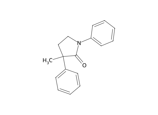 CC1(c2ccccc2)CCN(c2ccccc2)C1=O